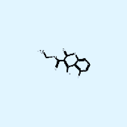 O=C(O)CNC(=O)c1c(O)c2c(F)cccc2sc1=O